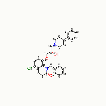 O=C1CCc2c(Cl)ccc(OCC(O)CN3CCC(c4ccccc4)CC3)c2N1Cc1ccccc1